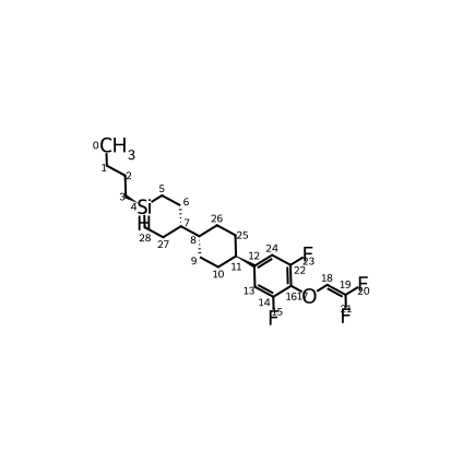 CCCC[Si@H]1CC[C@H]([C@H]2CC[C@H](c3cc(F)c(OC=C(F)F)c(F)c3)CC2)CC1